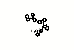 CC1(C)c2ccccc2-c2ccc(-c3nc(-n4c5ccccc5c5cc(-c6ccc7c(c6)c6ccccc6n7-c6cccc7ccccc67)ccc54)nc4ccccc34)cc21